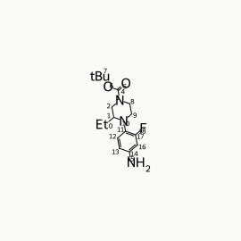 CCC1CN(C(=O)OC(C)(C)C)CCN1c1ccc(N)cc1F